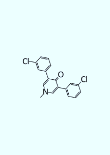 Cn1cc(-c2cccc(Cl)c2)c(=O)c(-c2cccc(Cl)c2)c1